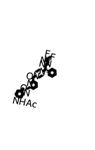 CC(=O)Nc1ccc2oc(-c3cccc(C(=O)N4CCN([C@H](c5ccccc5)c5nnn(C(F)F)n5)CC4)n3)nc2c1